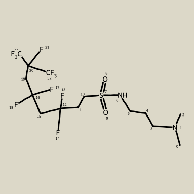 CN(C)CCCNS(=O)(=O)CCC(F)(F)CC(F)(F)CC(F)(C(F)(F)F)C(F)(F)F